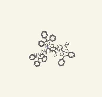 CC(=O)SC1=C(C(=O)OC(c2ccccc2)c2ccccc2)N2C(=O)C(NC(=O)/C(=N\OC(c3ccccc3)(c3ccccc3)c3ccccc3)c3csc(NC(c4ccccc4)(c4ccccc4)c4ccccc4)n3)[C@H]2SC1